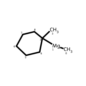 [CH3][Mg][C]1(C)CCCCC1